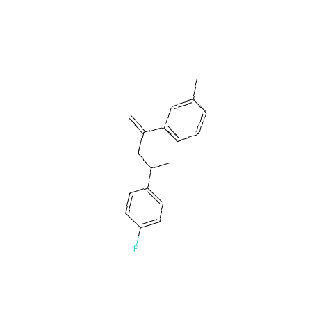 C=C(CC(C)c1ccc(F)cc1)c1cccc(C)c1